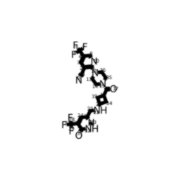 N#Cc1cc(C(F)(F)F)cnc1N1CCN(C(=O)C2CC(NCc3cc(C(F)(F)F)c(=O)[nH]n3)C2)CC1